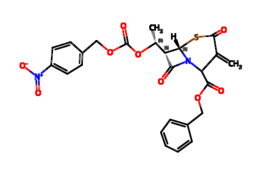 C=C1C(=O)S[C@H]2[C@@H]([C@@H](C)OC(=O)OCc3ccc([N+](=O)[O-])cc3)C(=O)N2C1C(=O)OCc1ccccc1